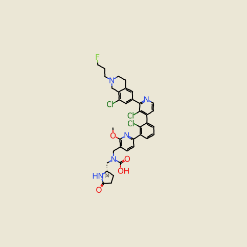 COc1nc(-c2cccc(-c3ccnc(-c4cc(Cl)c5c(c4)CCN(CCCF)C5)c3Cl)c2Cl)ccc1CN(C[C@@H]1CCC(=O)N1)C(=O)O